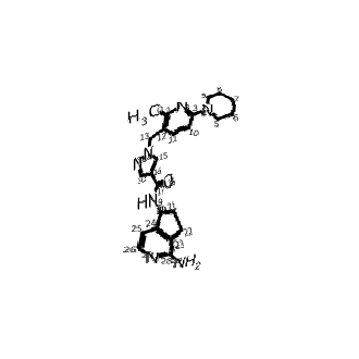 Cc1nc(N2CCCCC2)ccc1Cn1cc(C(=O)N[C@@H]2CCc3c2ccnc3N)cn1